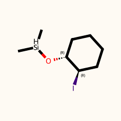 C[SiH](C)O[C@@H]1CCCC[C@H]1I